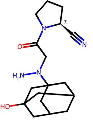 N#C[C@@H]1CCCN1C(=O)CN(N)C12CC3CC(CC(O)(C3)C1)C2